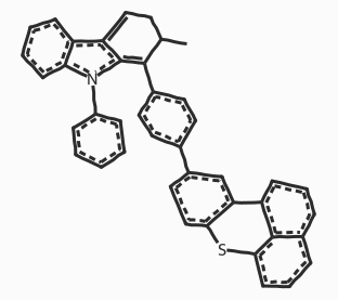 CC1CC=c2c(n(-c3ccccc3)c3ccccc23)=C1c1ccc(-c2ccc3c(c2)-c2cccc4cccc(c24)S3)cc1